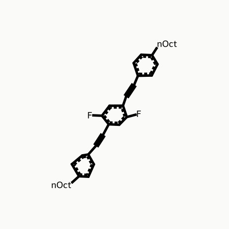 CCCCCCCCc1ccc(C#Cc2cc(F)c(C#Cc3ccc(CCCCCCCC)cc3)cc2F)cc1